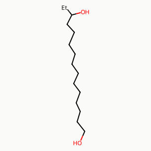 CCC(O)CCCCCCCCCCCCO